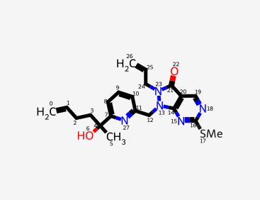 C=CCCC(C)(O)c1cccc(Cn2c3nc(SC)ncc3c(=O)n2CC=C)n1